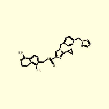 Cc1c(CNC(=O)c2cn(Cc3ccc(Cn4cccn4)cc3)c(C3CC3)n2)ccc2c(N)nccc12